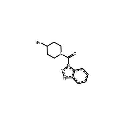 CC(C)C1CCN(C(=O)n2nnc3ccccc32)CC1